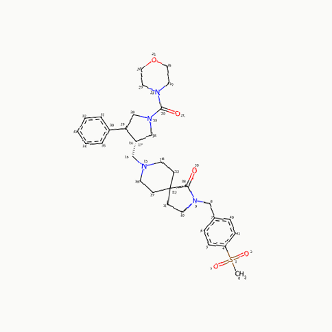 CS(=O)(=O)c1ccc(CN2CCC3(CCN(C[C@H]4CN(C(=O)N5CCOCC5)CC4c4ccccc4)CC3)C2=O)cc1